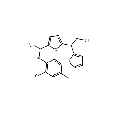 Cc1ccc(NC(C(=O)O)c2ccc(C(CS)c3ccco3)o2)c(Cl)c1